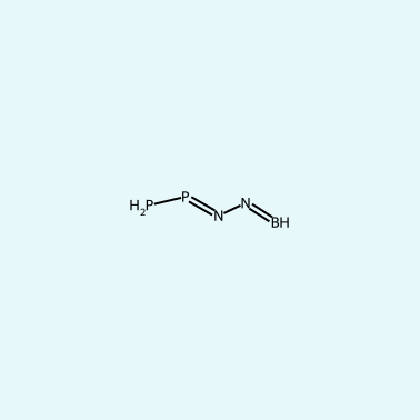 B=N/N=P/P